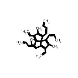 C=C/C=C\C1=C(C)C(C=C)=C(/C=C\C=C)C12C(/C=C\C)=C(C)C(C=C)=C2/C=C\C